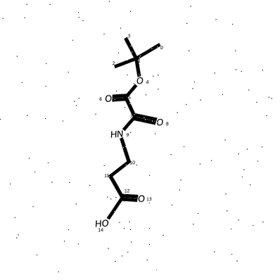 CC(C)(C)OC(=O)C(=O)NCCC(=O)O